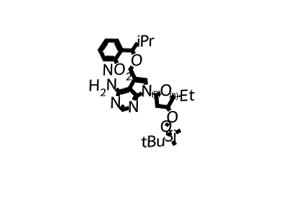 CC[C@H]1O[C@@H](n2cc(COC(c3ccccc3[N+](=O)[O-])C(C)C)c3c(N)ncnc32)CC1OO[Si](C)(C)C(C)(C)C